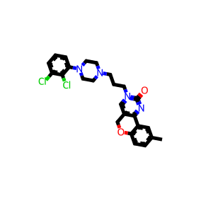 Cc1ccc2c(c1)-c1nc(=O)n(CCCN3CCN(c4cccc(Cl)c4Cl)CC3)cc1CO2